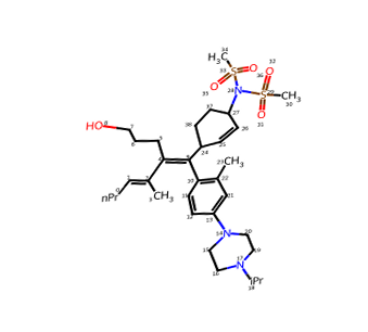 CCC/C=C(C)/C(CCCO)=C(\c1ccc(N2CCN(C(C)C)CC2)cc1C)C1C=CC(N(S(C)(=O)=O)S(C)(=O)=O)CC1